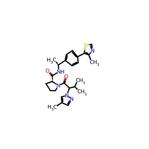 Cc1cnn(C(C(=O)N2CCC[C@H]2C(=O)N[C@@H](C)c2ccc(-c3scnc3C)cc2)C(C)C)c1